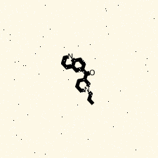 CCCN1CCCC(C(=O)c2ccc3ncccc3c2)C1